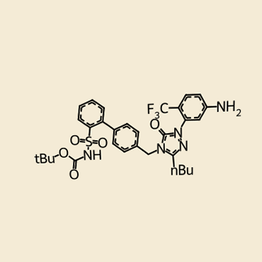 CCCCc1nn(-c2cc(N)ccc2C(F)(F)F)c(=O)n1Cc1ccc(-c2ccccc2S(=O)(=O)NC(=O)OC(C)(C)C)cc1